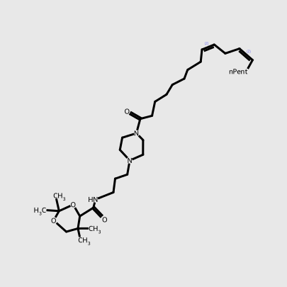 CCCCC/C=C\C/C=C\CCCCCCCC(=O)N1CCN(CCCNC(=O)C2OC(C)(C)OCC2(C)C)CC1